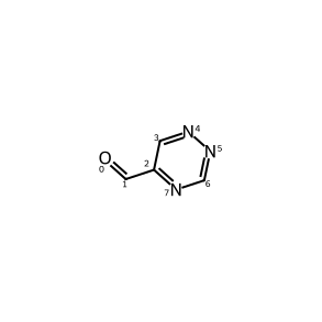 O=Cc1cnncn1